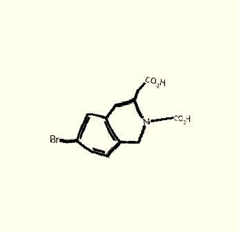 O=C(O)C1Cc2cc(Br)ccc2CN1C(=O)O